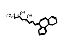 O=C(O)C[C@H](O)C[C@H](O)C=CC=C1C=CC2=C(CCC=C2)c2ccccc21